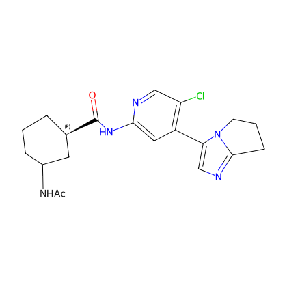 CC(=O)NC1CCC[C@@H](C(=O)Nc2cc(-c3cnc4n3CCC4)c(Cl)cn2)C1